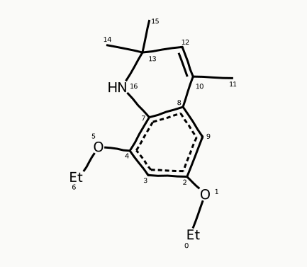 CCOc1cc(OCC)c2c(c1)C(C)=CC(C)(C)N2